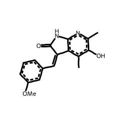 COc1cccc(C=C2C(=O)Nc3nc(C)c(O)c(C)c32)c1